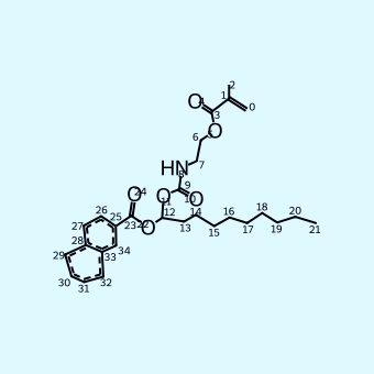 C=C(C)C(=O)OCCNC(=O)OC(CCCCCCCCC)OC(=O)c1ccc2ccccc2c1